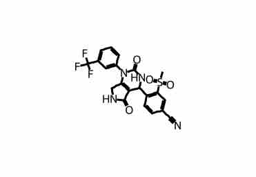 CS(=O)(=O)c1cc(C#N)ccc1C1NC(=O)N(c2cccc(C(F)(F)F)c2)C2=C1C(=O)NC2